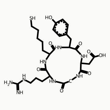 N=C(N)NCCCC1NC(=O)CNC(=O)C(CC(=O)O)NC(=O)C(Cc2ccc(O)cc2)NC(=O)C(CCCCCS)NC1=O